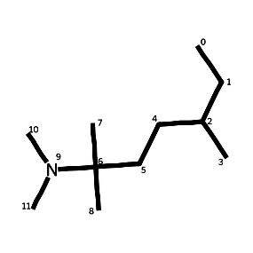 CCC(C)CCC(C)(C)N(C)C